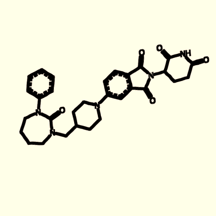 O=C1CCC(N2C(=O)c3ccc(N4CCC(CN5CCCCN(c6ccccc6)C5=O)CC4)cc3C2=O)C(=O)N1